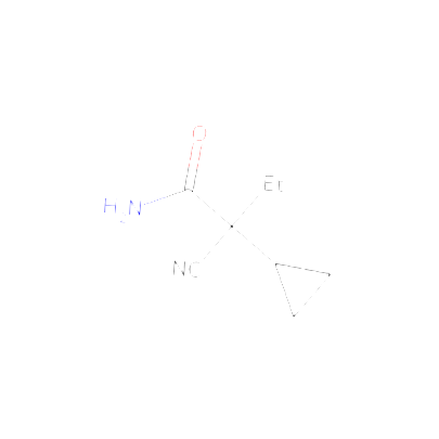 CCC(C#N)(C(N)=O)C1CC1